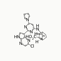 O=C(O)[C@@H]1C2CCC(CC2)[C@H]1Nc1cc(-n2cccc2)nc(-c2c[nH]c3ncc(Cl)nc23)n1